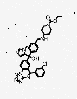 CCOC(=O)N1CCC(NCc2ccc(C(O)(c3ccc4c(c3)c(-c3cccc(Cl)c3)nc3nnnn34)c3cncn3C)cc2)CC1